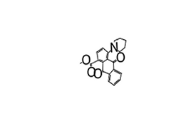 COC(=O)c1ccc(N2CCCCC2)c2c1C(=O)c1ccccc1C2=O